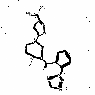 C[C@@H]1CC[C@@H](c2cc([C@H](O)C(F)(F)F)no2)CN1C(=O)c1ccccc1-n1ncnn1